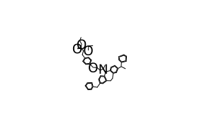 CCOC(=O)C(Cc1ccc(OCCN(C)C2c3ccc(Cc4ccccc4)cc3CCc3cc(C(C)c4ccccc4)ccc32)cc1)OCC